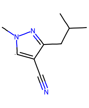 CC(C)Cc1nn(C)[c]c1C#N